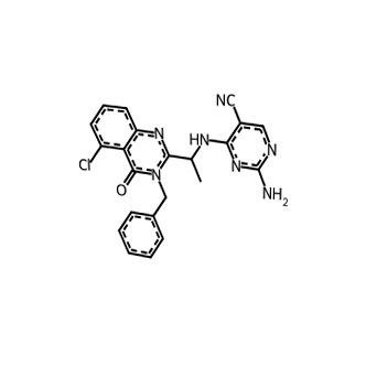 CC(Nc1nc(N)ncc1C#N)c1nc2cccc(Cl)c2c(=O)n1Cc1ccccc1